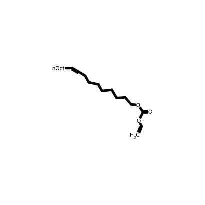 C=COC(=O)OCCCCCCCCC=CCCCCCCCC